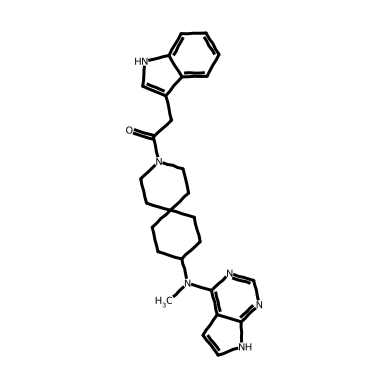 CN(c1ncnc2[nH]ccc12)C1CCC2(CC1)CCN(C(=O)Cc1c[nH]c3ccccc13)CC2